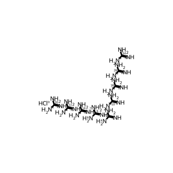 Cl.N=C(N)N.N=C(N)N.N=C(N)N.N=C(N)N.N=C(N)N.N=C(N)N.N=C(N)N.N=C(N)N.N=C(N)N